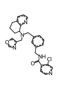 O=C(NCc1cccc(CN(Cc2cocn2)C2CCCc3cccnc32)c1)c1ccncc1Cl